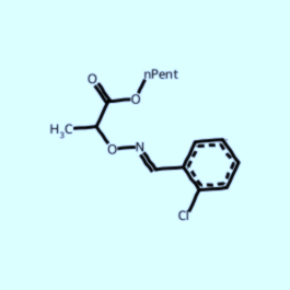 CCCCCOC(=O)C(C)ON=Cc1c[c]ccc1Cl